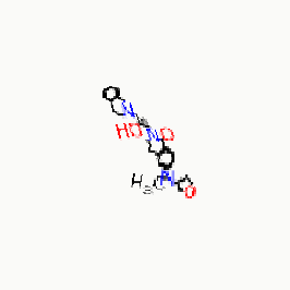 CN(c1ccc2c(c1)CCN(C[C@H](O)CN1CCc3ccccc3C1)C2=O)C1CCOC1